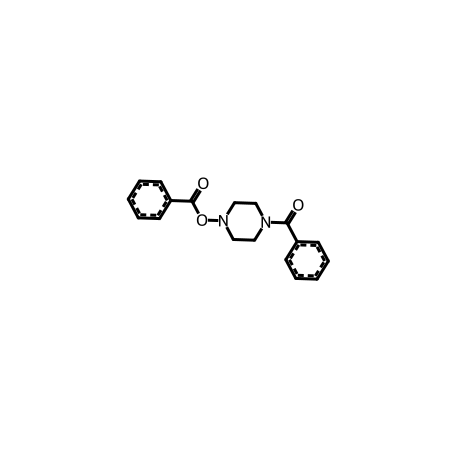 O=C(ON1CCN(C(=O)c2ccccc2)CC1)c1ccccc1